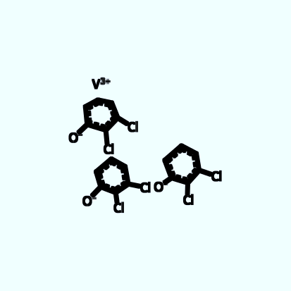 [O-]c1cccc(Cl)c1Cl.[O-]c1cccc(Cl)c1Cl.[O-]c1cccc(Cl)c1Cl.[V+3]